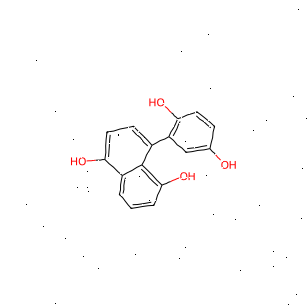 Oc1ccc(O)c(-c2ccc(O)c3cccc(O)c23)c1